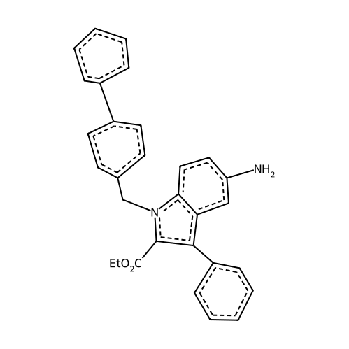 CCOC(=O)c1c(-c2ccccc2)c2cc(N)ccc2n1Cc1ccc(-c2ccccc2)cc1